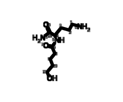 NCCCC(NC(=O)CCCCO)C(N)=O